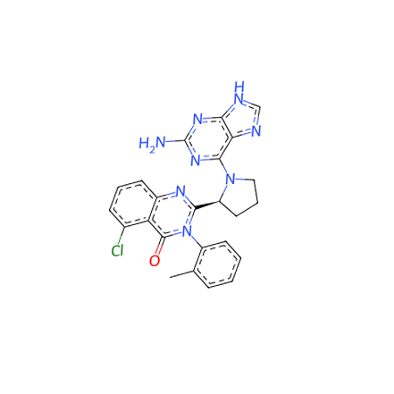 Cc1ccccc1-n1c([C@@H]2CCCN2c2nc(N)nc3[nH]cnc23)nc2cccc(Cl)c2c1=O